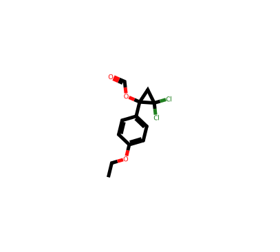 CCOc1ccc(C2(OC=O)CC2(Cl)Cl)cc1